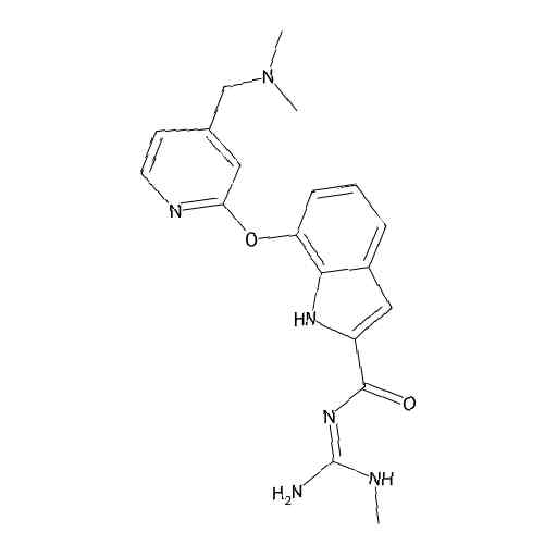 CNC(N)=NC(=O)c1cc2cccc(Oc3cc(CN(C)C)ccn3)c2[nH]1